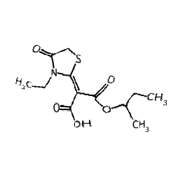 CCC(C)OC(=O)C(C(=O)O)=C1SCC(=O)N1CC